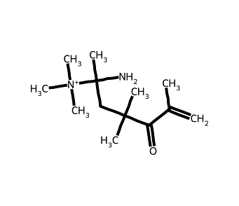 C=C(C)C(=O)C(C)(C)CC(C)(N)[N+](C)(C)C